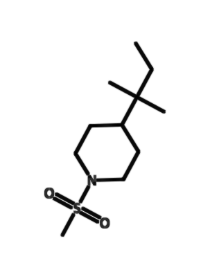 CCC(C)(C)C1CCN(S(C)(=O)=O)CC1